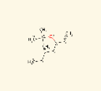 C=CC(CCCC)OC(C)(C)C